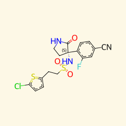 N#Cc1ccc([C@@]2(NS(=O)(=O)CCc3ccc(Cl)s3)CCNC2=O)c(F)c1